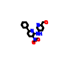 O=Cc1ccc(Nc2nc(-c3ccccc3)ccc2[N+](=O)[O-])cn1